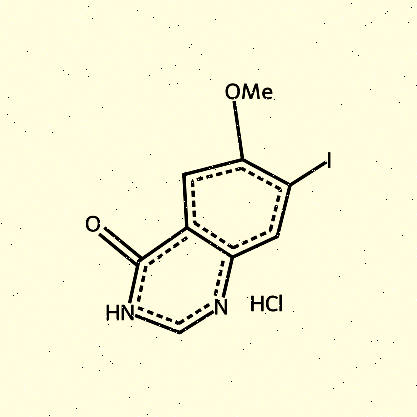 COc1cc2c(=O)[nH]cnc2cc1I.Cl